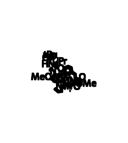 CC[C@H](C)[C@@H]([C@@H](CC(=O)N1CCC[C@H]1[C@H](OC)[C@@H](C)C(=O)NC(Cc1ccccc1)C(=O)OC)OC)N(C)C(=O)[C@@H](NC(=O)OC(C)(C)C)C(C)C